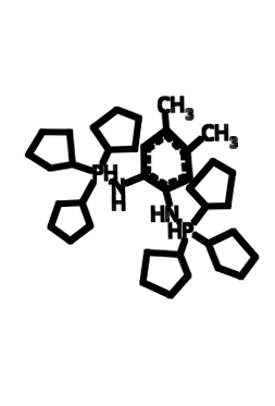 Cc1cc(N[PH](C2CCCC2)(C2CCCC2)C2CCCC2)c(N[PH](C2CCCC2)(C2CCCC2)C2CCCC2)cc1C